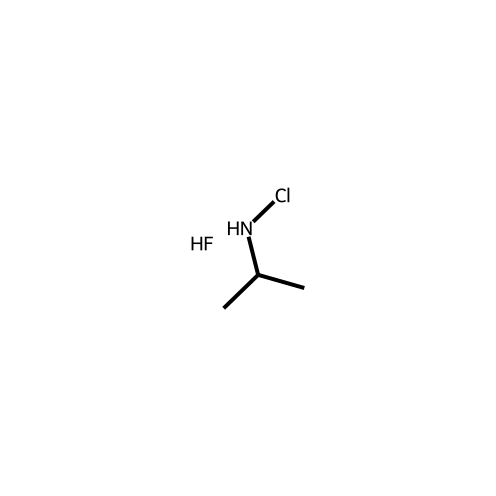 CC(C)NCl.F